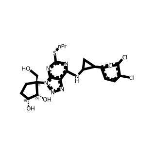 CCCSc1nc(NC2CC2c2ccc(Cl)c(Cl)c2)c2nnn([C@@]3(CO)CC[C@@H](O)[C@H]3O)c2n1